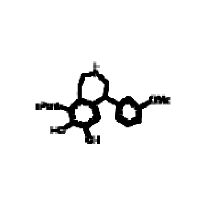 CCCCCc1c(O)c(O)cc2c1CCNCC2c1cccc(OC)c1